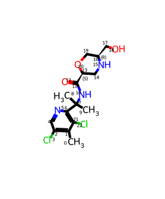 Cc1c(Cl)cnc(C(C)(C)NC(=O)[C@@H]2CN[C@H](CO)CO2)c1Cl